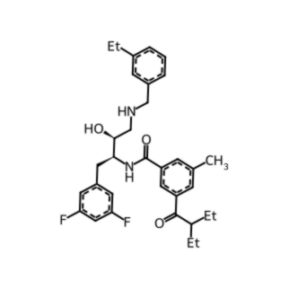 CCc1cccc(CNC[C@H](O)[C@H](Cc2cc(F)cc(F)c2)NC(=O)c2cc(C)cc(C(=O)C(CC)CC)c2)c1